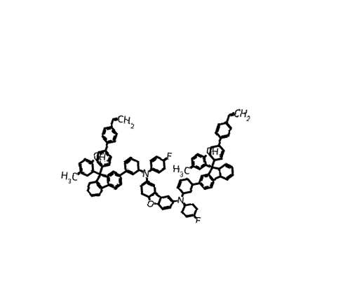 C=Cc1ccc(-c2ccc(C3(C4CC(C)=CC=C4C)C4=C(C=CCC4)c4ccc(C5=CC(N(C6=CCC(F)C=C6)C6=CC7C(CC6)OC6C=CC(N(C8C=CCC(c9ccc%10c(c9)C(c9cc(C)ccc9C)(C9C=CC(C%11=CCC(C=C)C=C%11)CC9)C9C=CC=CC%109)C8)C8CC=C(F)CC8)=CC67)CC=C5)cc43)cc2)cc1